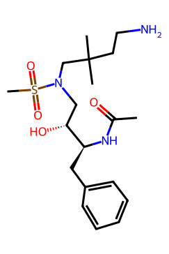 CC(=O)N[C@@H](Cc1ccccc1)[C@H](O)CN(CC(C)(C)CCN)S(C)(=O)=O